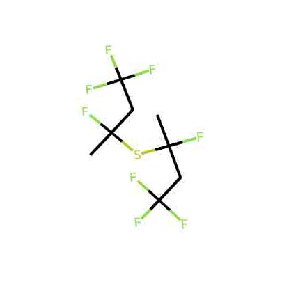 CC(F)(CC(F)(F)F)SC(C)(F)CC(F)(F)F